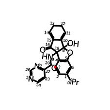 CC(C)c1ccc2c(c1)OC1(O)C3=CCCC=C3C(=O)C21NC(=O)c1ccncn1